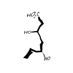 C=C[C@H](CC(O)CC(=O)O)N=O